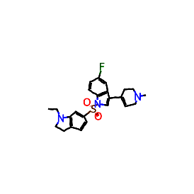 CCN1CCc2ccc(S(=O)(=O)n3cc(C4=CCN(C)CC4)c4cc(F)ccc43)cc21